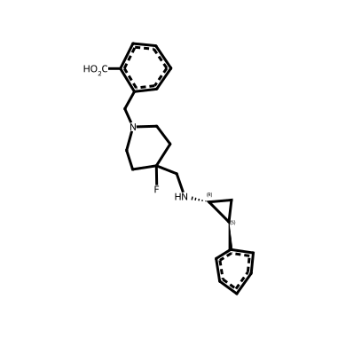 O=C(O)c1ccccc1CN1CCC(F)(CN[C@@H]2C[C@H]2c2ccccc2)CC1